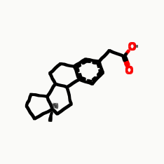 C[C@@]12CCCC1C1CCc3cc(CC([O])=O)ccc3C1CC2